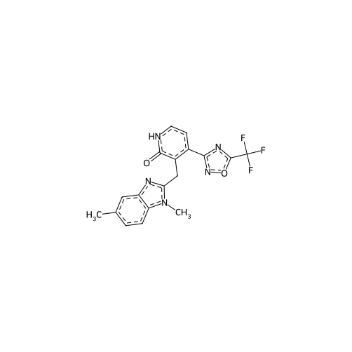 Cc1ccc2c(c1)nc(Cc1c(-c3noc(C(F)(F)F)n3)cc[nH]c1=O)n2C